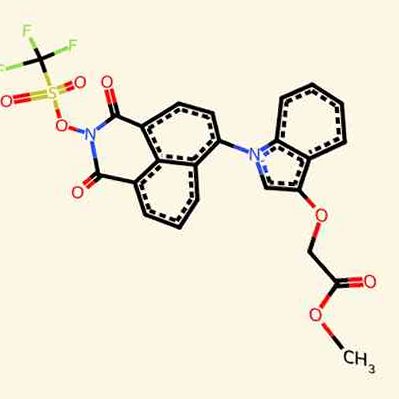 COC(=O)COc1cn(-c2ccc3c4c(cccc24)C(=O)N(OS(=O)(=O)C(F)(F)F)C3=O)c2ccccc12